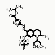 CCC(CC)N1c2cc(NS(=O)(=O)C(F)(F)F)c(N=Nc3nnc(C(=O)OC(C)C)s3)cc2CCC1C